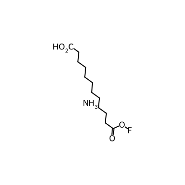 N.O=C(O)CCCCCCCCCCC(=O)OF